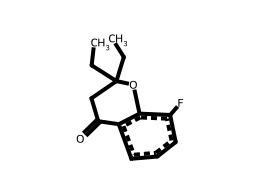 CCC1(CC)CC(=O)c2cccc(F)c2O1